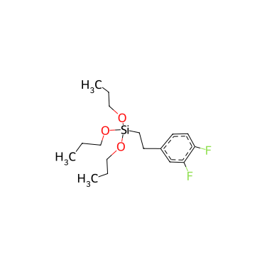 CCCO[Si](CCc1ccc(F)c(F)c1)(OCCC)OCCC